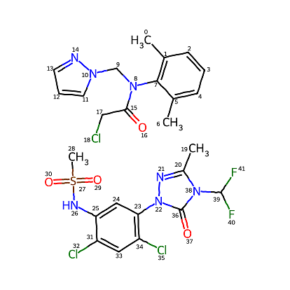 Cc1cccc(C)c1N(Cn1cccn1)C(=O)CCl.Cc1nn(-c2cc(NS(C)(=O)=O)c(Cl)cc2Cl)c(=O)n1C(F)F